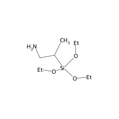 CCO[Si](OCC)(OCC)C(C)CN